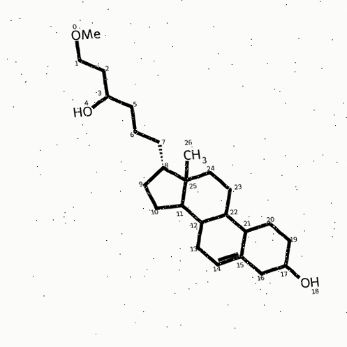 COCCC(O)CCC[C@H]1CCC2C3CC=C4CC(O)CCC4C3CCC21C